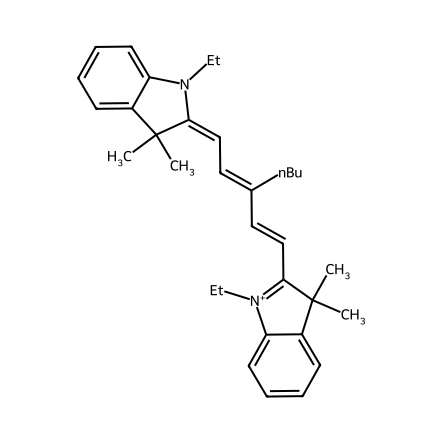 CCCCC(/C=C/C1=[N+](CC)c2ccccc2C1(C)C)=C\C=C1\N(CC)c2ccccc2C1(C)C